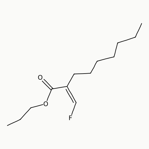 CCCCCCCC(=CF)C(=O)OCCC